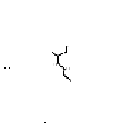 CCNNC(C)CI